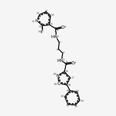 O=C(NCCCNC(=O)c1cccnc1F)c1cc(-c2ccccc2)on1